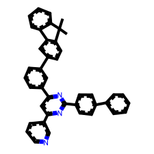 CC1(C)c2ccccc2-c2cc(-c3cccc(-c4cc(-c5cccnc5)nc(-c5ccc(-c6ccccc6)cc5)n4)c3)ccc21